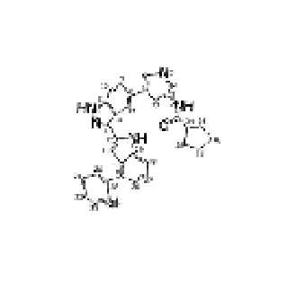 O=C(Nc1cncc(-c2ccc3[nH]nc(-c4cc5c(-c6ccccc6F)cccc5[nH]4)c3c2)c1)C1CCCC1